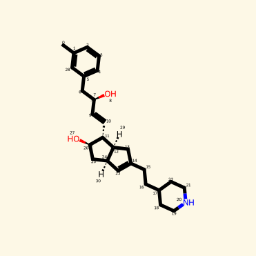 Cc1cccc(C[C@@H](O)/C=C/[C@@H]2[C@H]3CC(CCC4CCNCC4)=C[C@H]3C[C@H]2O)c1